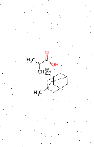 C=C(C)C(=O)O.CC12CC3CC(C1)CC(C)(C3)C2